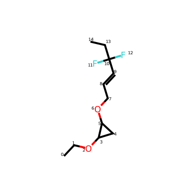 CCOC1CC1OC/C=C/C(F)(F)CC